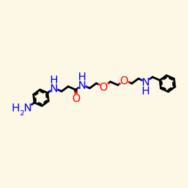 Nc1ccc(NCCC(=O)NCCOCCOCCNCc2ccccc2)cc1